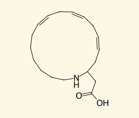 O=C(O)CC1CC=CCC=CCC=CCCCCCCN1